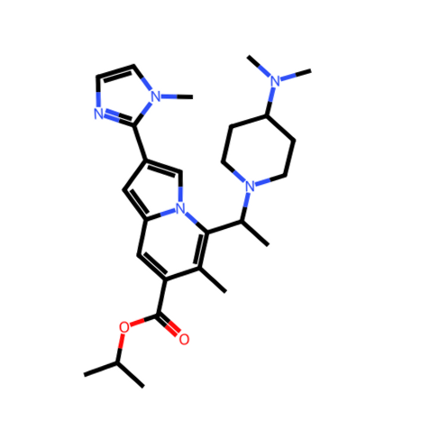 Cc1c(C(=O)OC(C)C)cc2cc(-c3nccn3C)cn2c1C(C)N1CCC(N(C)C)CC1